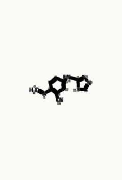 C=Nc1ccc(Nc2nncs2)cc1C#N